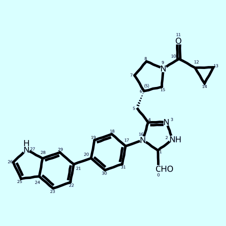 O=CC1NN=C(C[C@@H]2CCN(C(=O)C3CC3)C2)N1c1ccc(-c2ccc3cc[nH]c3c2)cc1